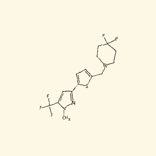 Cn1nc(-c2ccc(CN3CCC(F)(F)CC3)s2)cc1C(F)(F)F